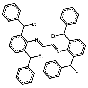 CCC(c1ccccc1)c1cccc(C(CC)c2ccccc2)c1/N=C/C=N/c1c(C(CC)c2ccccc2)cccc1C(CC)c1ccccc1